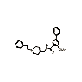 COc1cc(-c2ccccc2)sc1C(=O)NCC1CCN(CCc2ccccc2)CC1